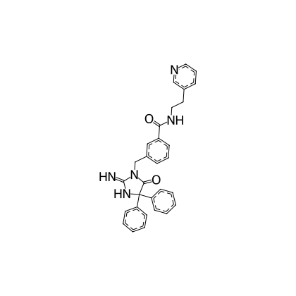 N=C1NC(c2ccccc2)(c2ccccc2)C(=O)N1Cc1cccc(C(=O)NCCc2cccnc2)c1